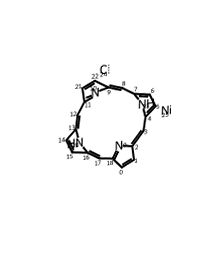 C1=Cc2cc3ccc(cc4nc(cc5ccc(cc1n2)[nH]5)C=C4)[nH]3.[C].[Ni]